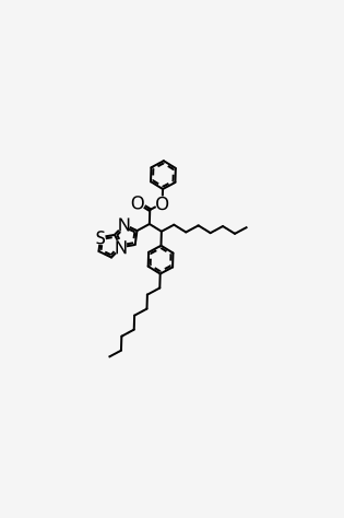 CCCCCCCCc1ccc(C(CCCCCCC)C(C(=O)Oc2ccccc2)c2cn3ccsc3n2)cc1